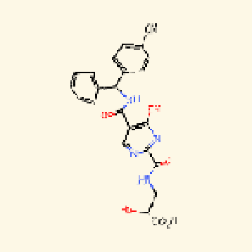 N#Cc1ccc(C(NC(=O)c2cnc(C(=O)NC[C@@H](O)C(=O)O)nc2O)c2ccccc2)cc1